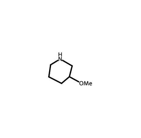 [CH2-][OH+]C1CCCNC1